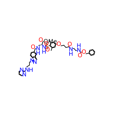 COC(=O)[C@H](CNC(=O)c1ccc2c(cnn2CCCNc2ncccn2)c1)NS(=O)(=O)c1c(C)cc(OCCCC(=O)NCCNC(=O)OCc2ccccc2)cc1C